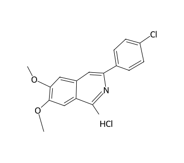 COc1cc2cc(-c3ccc(Cl)cc3)nc(C)c2cc1OC.Cl